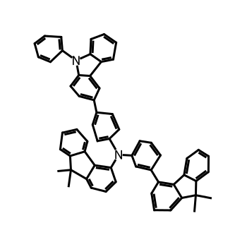 CC1(C)c2ccccc2-c2c(-c3cccc(N(c4ccc(-c5ccc6c(c5)c5ccccc5n6-c5ccccc5)cc4)c4cccc5c4-c4ccccc4C5(C)C)c3)cccc21